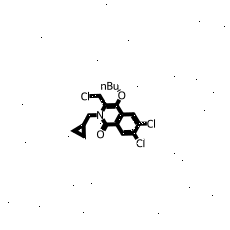 CCCCOc1c(CCl)n(CC2CC2)c(=O)c2cc(Cl)c(Cl)cc12